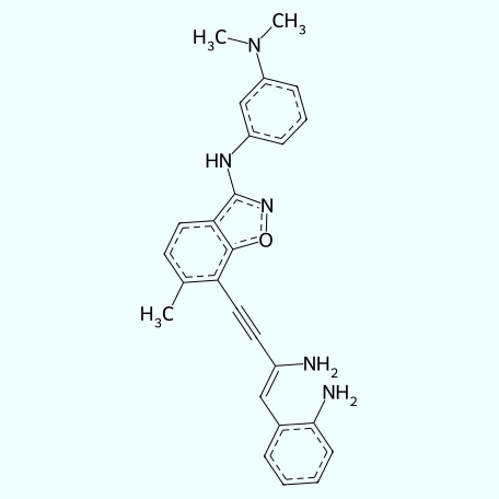 Cc1ccc2c(Nc3cccc(N(C)C)c3)noc2c1C#C/C(N)=C/c1ccccc1N